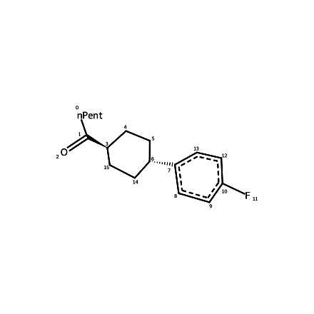 CCCCCC(=O)[C@H]1CC[C@H](c2ccc(F)cc2)CC1